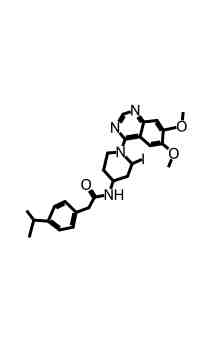 COc1cc2ncnc(N3CCC(NC(=O)Cc4ccc(C(C)C)cc4)CC3I)c2cc1OC